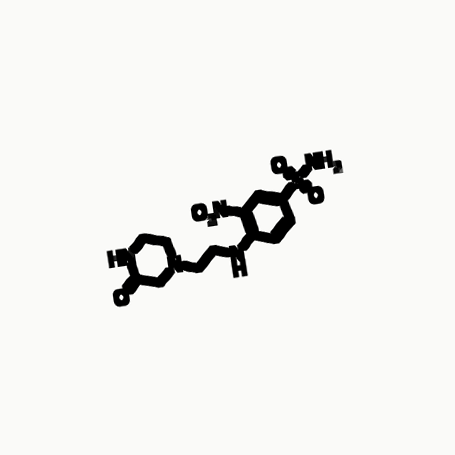 NS(=O)(=O)c1ccc(NCCN2CCNC(=O)C2)c([N+](=O)[O-])c1